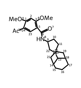 COc1cc(OC)c(C(=O)NC2CCN(C3C4CCCC3CCC4)C2)cc1C(C)=O